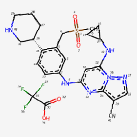 CS(=O)(=O)Cc1cc(Nc2cc(NC3CC3)n3ncc(C#N)c3n2)ccc1[C@H]1CCCNC1.O=C(O)C(F)(F)F